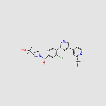 CC(C)(C)c1cc(-c2cncc(-c3ccc(C(=O)N4CC(C(C)(C)O)C4)cc3Cl)c2)ccn1